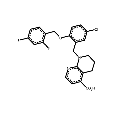 O=C(O)c1ccnc2c1CCCN2Cc1cc(Cl)ccc1OCc1ccc(F)cc1F